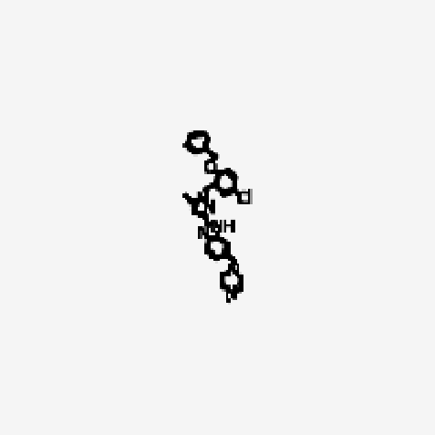 Cc1cc(-c2nc3ccc(CN4CCN(C)CC4)cc3[nH]2)nn1Cc1cc(Cl)ccc1OCc1ccccc1